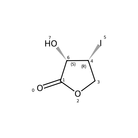 O=C1OC[C@@H](I)[C@H]1O